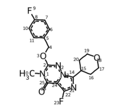 Cn1c(OCc2ccc(F)cc2)nn2c(C3CCOCC3)nc(F)c2c1=O